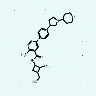 CC1C(CO)CC1NC(=O)c1cc(-c2ccc(C3CCN(C4CCOCC4)C3)cc2)cnc1N